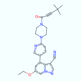 CCOc1cc(-c2ccc(N3CCN(C(=O)C#CC(C)(C)C)CC3)nc2)c2c(C#N)cnn2c1